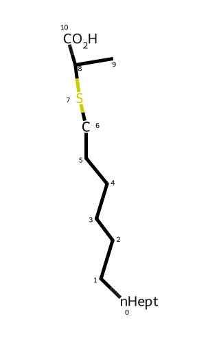 CCCCCCCCCCCCCSC(C)C(=O)O